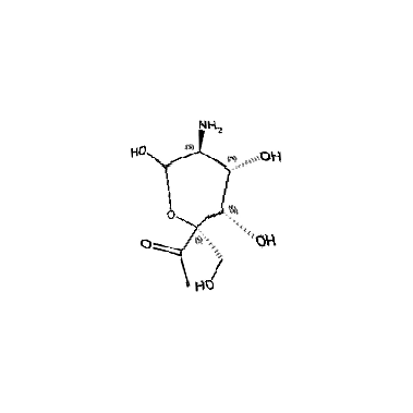 CC(=O)[C@@]1(CO)OC(O)[C@@H](N)[C@H](O)[C@@H]1O